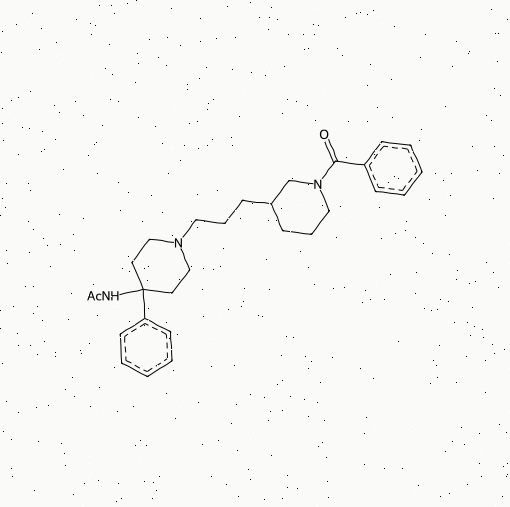 CC(=O)NC1(c2ccccc2)CCN(CCCC2CCCN(C(=O)c3ccccc3)C2)CC1